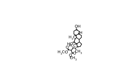 COC(=O)C(CC(C)[C@H]1CCC2C3CC[C@@H]4C[C@H](O)CC[C@]4(C)C3C[C@H](O)[C@@]21C)C(=O)OC